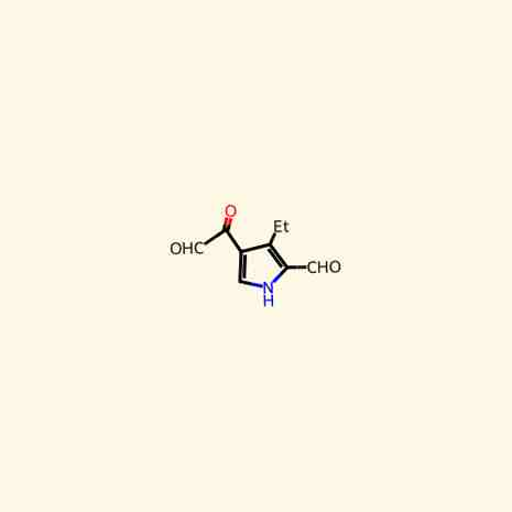 CCc1c(C(=O)C=O)c[nH]c1C=O